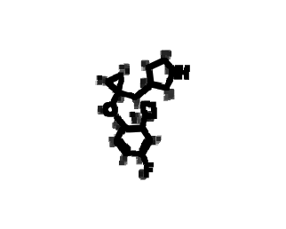 Fc1ccc(OC2(CC3CCNC3)CC2)c(Cl)c1